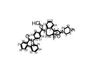 CN1CCN(C(=O)/C=C2/c3ccccc3N(C(=O)c3ccc(NC(=O)c4ccccc4-c4ccccc4)cc3)CCC2(F)F)CC1.Cl